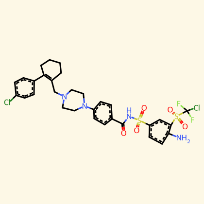 Nc1ccc(S(=O)(=O)NC(=O)c2ccc(N3CCN(CC4=C(c5ccc(Cl)cc5)CCCC4)CC3)cc2)cc1S(=O)(=O)C(F)(F)Cl